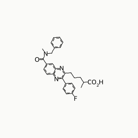 CC(CCCc1nc2cc(C(=O)N(C)Cc3ccccc3)ccc2nc1-c1ccc(F)cc1)C(=O)O